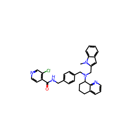 Cn1c(CN(Cc2ccc(CNC(=O)c3ccncc3Cl)cc2)C2CCCc3cccnc32)cc2ccccc21